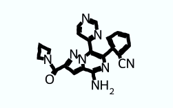 N#Cc1ccccc1-c1nc(N)c2cc(C(=O)N3CCC3)nn2c1-c1ccncn1